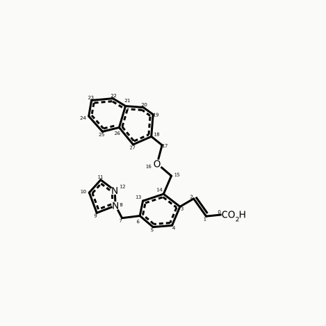 O=C(O)C=Cc1ccc(Cn2cccn2)cc1COCc1ccc2ccccc2c1